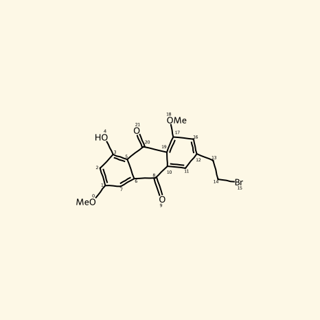 COc1cc(O)c2c(c1)C(=O)c1cc(CCBr)cc(OC)c1C2=O